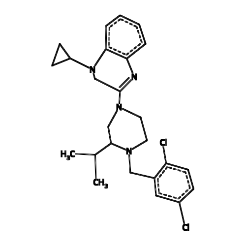 CC(C)C1CN(C2=Nc3ccccc3N(C3CC3)C2)CCN1Cc1cc(Cl)ccc1Cl